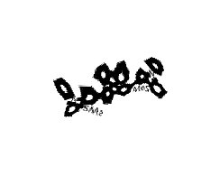 CSC12CCCCC1(C)N(c1ccccc1)c1ccc(-c3ccc4c(c3)C3(c5ccccc5-c5ccccc53)c3cc(-c5ccc6c(c5)C5(SC)CCCCC5(C)N6c5ccccc5)ccc3-4)cc12